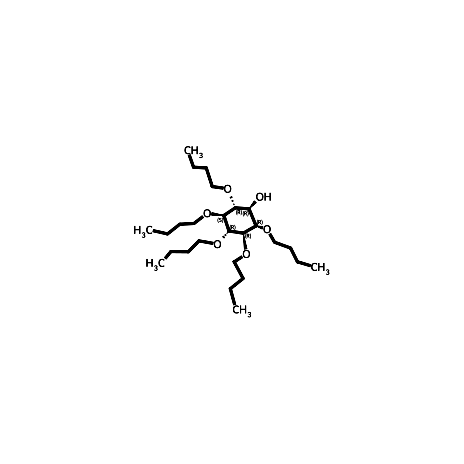 CCCCO[C@@H]1[C@@H](OCCCC)[C@H](OCCCC)[C@@H](O)[C@@H](OCCCC)[C@H]1OCCCC